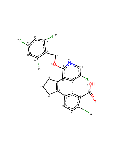 O=C(O)c1cc(C2=C(c3cc(Cl)cnc3OCc3c(F)cc(F)cc3F)CCC2)ccc1F